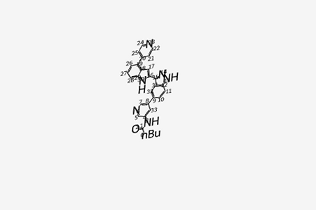 CCCCC(=O)Nc1cncc(-c2ccc3[nH]nc(-c4cc5c(-c6ccncc6)cccc5[nH]4)c3c2)c1